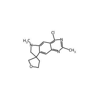 Cc1nc(Cl)c2cc3c(cc2n1)C1(CCOC1)CN3C